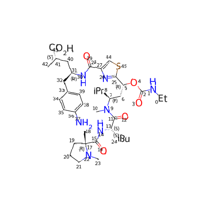 CCNC(=O)O[C@H](C[C@H](C(C)C)N(C)C(=O)[C@@H](NC(=O)[C@@]1(C)CCCN1C)[C@@H](C)CC)c1nc(C(=O)N[C@@H](Cc2ccc(N)cc2)C[C@H](C)C(=O)O)cs1